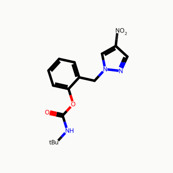 CC(C)(C)NC(=O)Oc1ccccc1Cn1cc([N+](=O)[O-])cn1